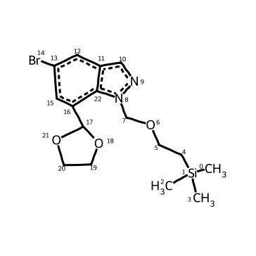 C[Si](C)(C)CCOCn1ncc2cc(Br)cc(C3OCCO3)c21